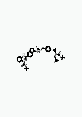 CC(C)(C)OC(=O)Nc1ccccc1NC(=O)c1ccc2c(c1)CCC2NC(=O)OCc1ccc([C@H]2CC2N(CC2CC2)C(=O)OC(C)(C)C)cc1